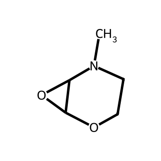 CN1CCOC2OC21